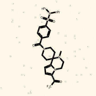 CCCN(CCC)S(=O)(=O)c1ccc(C(=O)N2CCC3(CC2)c2ccc(C(=O)C(F)(F)F)n2CCN3C)cc1